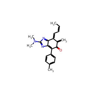 C=C1C(=O)C(c2ccc(C)cc2)=C2N=C(N(C)C)N=C2/C1=C/C=C\C